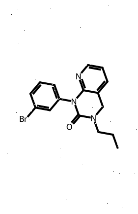 CCCN1Cc2cccnc2N(c2cccc(Br)c2)C1=O